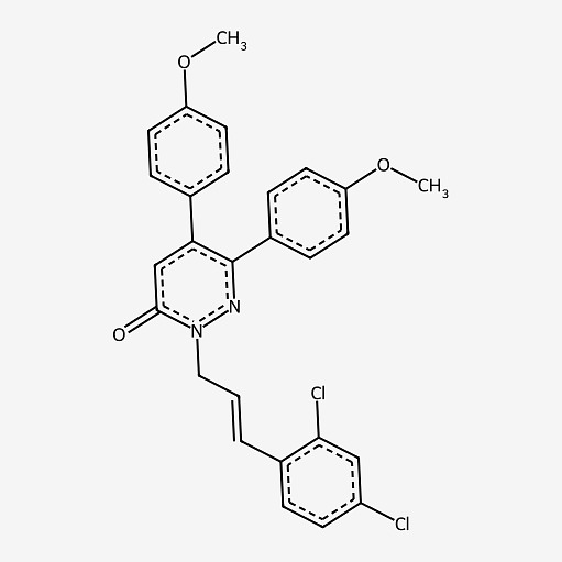 COc1ccc(-c2cc(=O)n(CC=Cc3ccc(Cl)cc3Cl)nc2-c2ccc(OC)cc2)cc1